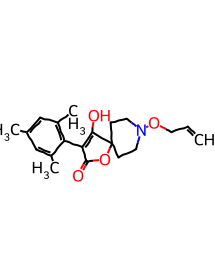 C=CCON1CCC2(CC1)OC(=O)C(c1c(C)cc(C)cc1C)=C2O